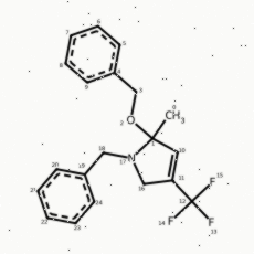 CC1(OCc2ccccc2)C=C(C(F)(F)F)CN1Cc1ccccc1